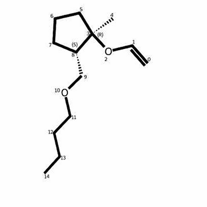 C=CO[C@]1(C)CCC[C@H]1COCCCC